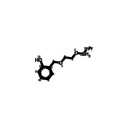 CCC[SiH2]OCCOCc1ccccc1O